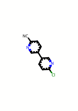 N#Cc1ccc(-c2ccc(Cl)nc2)cn1